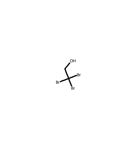 OCC(Br)(Br)Br